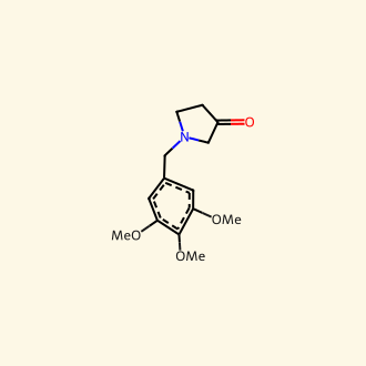 COc1cc(CN2CCC(=O)C2)cc(OC)c1OC